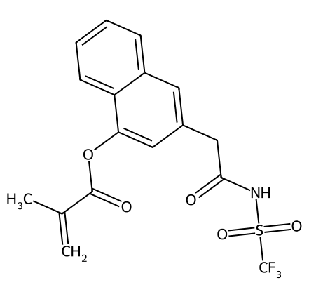 C=C(C)C(=O)Oc1cc(CC(=O)NS(=O)(=O)C(F)(F)F)cc2ccccc12